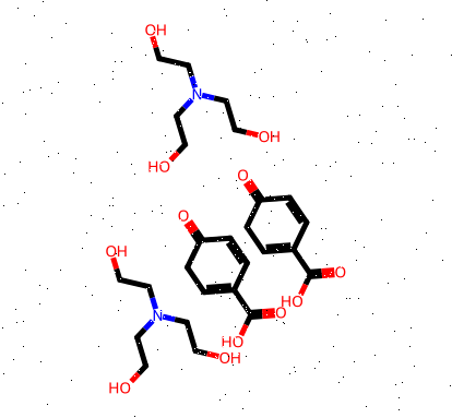 O=C1C=CC(C(=O)O)=CC1.O=C1C=CC(C(=O)O)=CC1.OCCN(CCO)CCO.OCCN(CCO)CCO